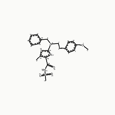 COc1ccc(CCN(Cc2ccccc2)c2nc(C(=O)NS(C)(=O)=O)c(C)s2)cc1